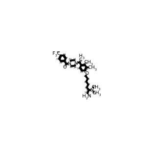 Cc1c(OCCCCCC(CN)N(C)C)ccc(C(C)N2CCN(C(=O)c3ccc(C(F)(F)F)cc3)CC2)c1C